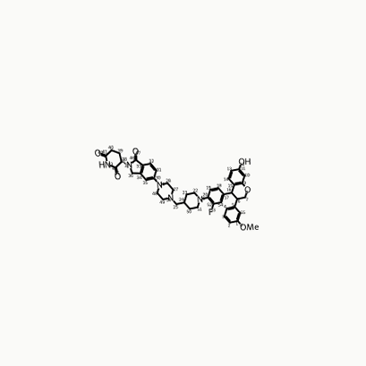 COc1cccc(C2COc3cc(O)ccc3C2c2ccc(N3CCC(CN4CCN(c5ccc6c(c5)CN([C@H]5CCC(=O)NC5=O)C6=O)CC4)CC3)c(F)c2)c1